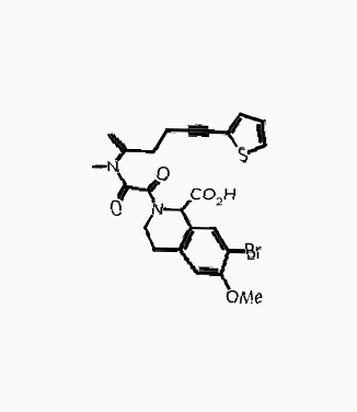 C=C(CCC#Cc1cccs1)N(C)C(=O)C(=O)N1CCc2cc(OC)c(Br)cc2C1C(=O)O